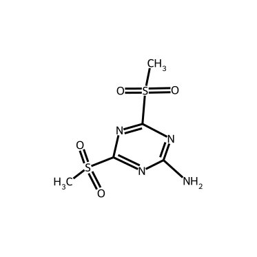 CS(=O)(=O)c1nc(N)nc(S(C)(=O)=O)n1